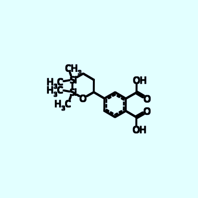 C[Si]1(C)CCC(c2ccc(C(=O)O)c(C(=O)O)c2)O[Si]1(C)C